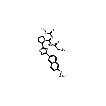 CCCCCCCOc1ccc2cc(-c3noc(C4CCCN4C(=NC(=O)OC(C)(C)C)NC(=O)OC(C)(C)C)n3)ccc2c1